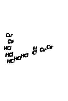 Cl.Cl.Cl.Cl.Cl.Cl.[Cu].[Cu].[Cu].[Cu]